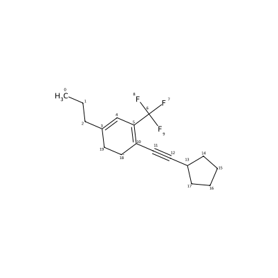 CCCC1=CC(C(F)(F)F)=C(C#CC2CCCC2)[CH]C1